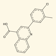 Cc1cc(-c2cc(C(=O)O)c3ccccc3n2)ccc1Cl